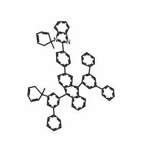 CC1(c2cc(-c3ccccc3)cc(-c3c4ccccc4c(-c4cc(-c5ccccc5)cc(-c5ccccc5)c4)c4cc(-c5ccc(-c6nc7ccccc7n6C6(C)C=CC=CC6)cc5)ccc34)c2)C=CC=CC1